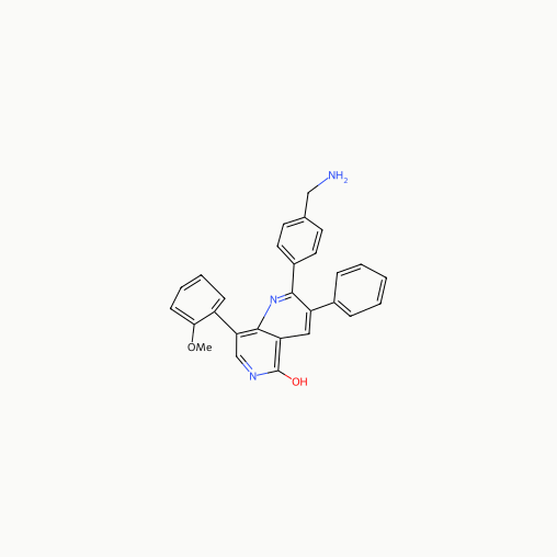 COc1ccccc1-c1cnc(O)c2cc(-c3ccccc3)c(-c3ccc(CN)cc3)nc12